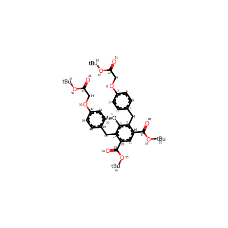 COc1c(Cc2ccc(OCC(=O)OC(C)(C)C)cc2)c(C(=O)OC(C)(C)C)cc(C(=O)OC(C)(C)C)c1Cc1ccc(OCC(=O)OC(C)(C)C)cc1